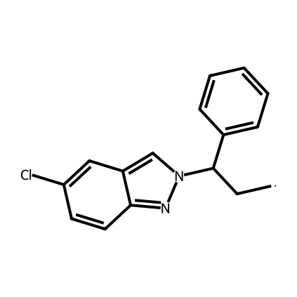 [CH2]CC(c1ccccc1)n1cc2cc(Cl)ccc2n1